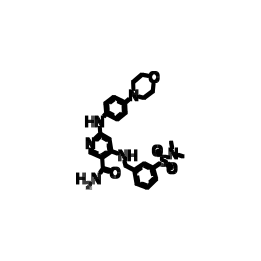 CN(C)S(=O)(=O)c1cccc(CNc2cc(Nc3ccc(N4CCOCC4)cc3)ncc2C(N)=O)c1